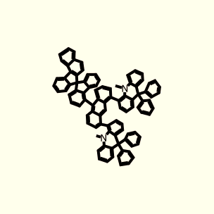 CN1c2ccccc2C(c2ccccc2)(c2ccccc2)c2cccc(-c3cccc4c(-c5cccc6c5-c5ccccc5C65c6ccccc6-c6c5ccc5ccccc65)c5cccc(-c6cccc7c6N(C)c6ccccc6C7(c6ccccc6)c6ccccc6)c5cc34)c21